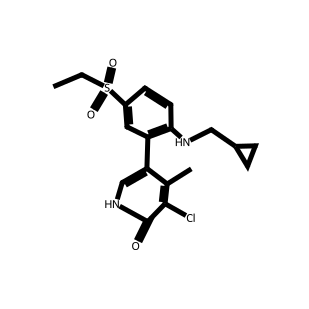 CCS(=O)(=O)c1ccc(NCC2CC2)c(-c2c[nH]c(=O)c(Cl)c2C)c1